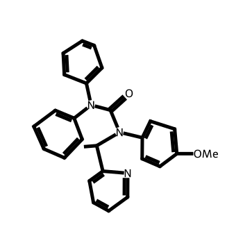 COc1ccc(N(C(=O)N(c2ccccc2)c2ccccc2)C(C)c2ccccn2)cc1